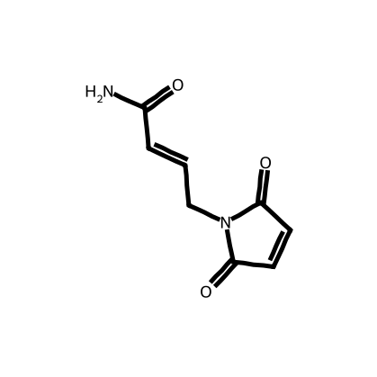 NC(=O)/C=C/CN1C(=O)C=CC1=O